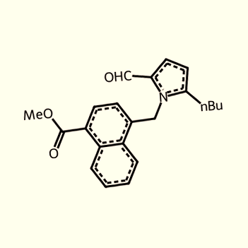 CCCCc1ccc(C=O)n1Cc1ccc(C(=O)OC)c2ccccc12